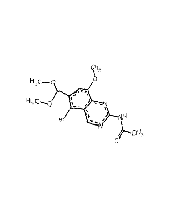 COc1cc(C(OC)OC)c(Br)c2cnc(NC(C)=O)nc12